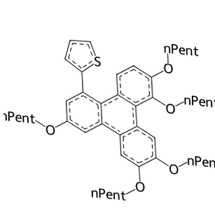 CCCCCOc1cc(-c2cccs2)c2c(c1)c1cc(OCCCCC)c(OCCCCC)cc1c1c(OCCCCC)c(OCCCCC)ccc21